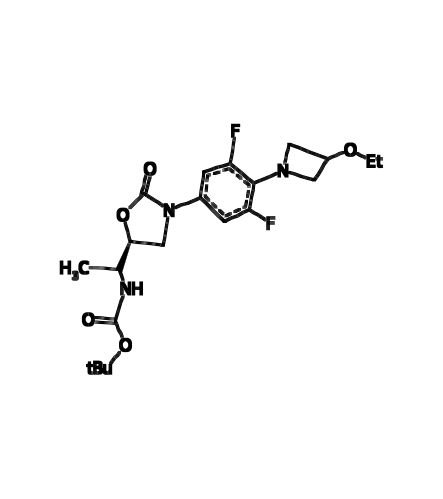 CCOC1CN(c2c(F)cc(N3C[C@@H](C(C)NC(=O)OC(C)(C)C)OC3=O)cc2F)C1